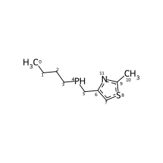 CCCCPCc1csc(C)n1